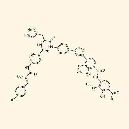 COc1c(NC(=O)c2ccc(-n3cc(-c4ccc(NC(=O)[C@H](Cc5c[nH]nn5)NC(=O)c5ccc(NC(=O)/C(C)=C/c6ccc(O)cc6)cc5)cc4)nn3)c(OC)c2O)ccc(C(=O)O)c1O